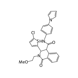 COCCN1C(=O)c2ccccc2C(C(=O)Nc2ccc(-n3cccc3)cc2)C1c1ccc(Cl)s1